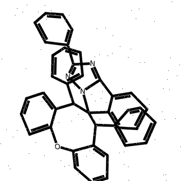 c1ccc(-c2nc3n(n2)C2(c4ccccc4-3)C(c3ccccc3)c3ccccc3Oc3ccccc3C2c2ccccc2)cc1